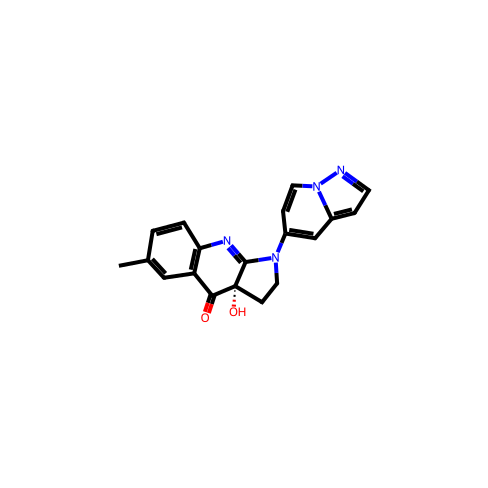 Cc1ccc2c(c1)C(=O)[C@]1(O)CCN(c3ccn4nccc4c3)C1=N2